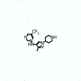 Cc1nn(C2CCNCC2)cc1NN1C=C(C(F)(F)F)C=NC1